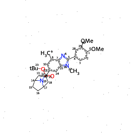 COc1ccc(-c2nc3c(C)cc(C4=CC5CCC(C4)N5C(=O)OC(C)(C)C)cc3n2C)cc1OC